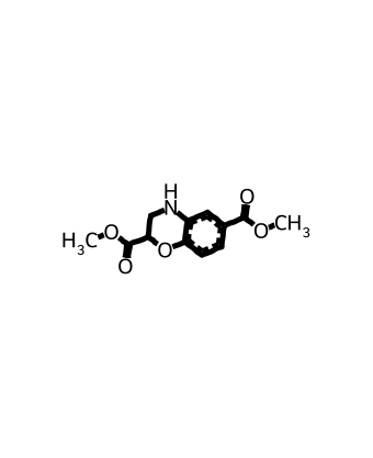 COC(=O)c1ccc2c(c1)NCC(C(=O)OC)O2